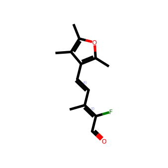 CC(/C=C/c1c(C)oc(C)c1C)=C(/F)C=O